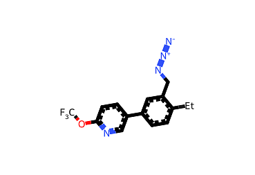 CCc1ccc(-c2ccc(OC(F)(F)F)nc2)cc1CN=[N+]=[N-]